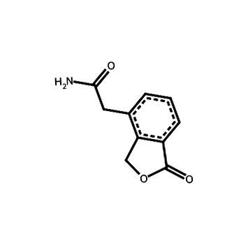 NC(=O)Cc1cccc2c1COC2=O